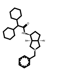 O=C(N[C@H]1CC[C@H]2CN(Cc3ccccc3)C[C@H]21)C(C1CCCCC1)C1CCCCC1